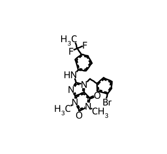 Cn1c(=O)c2c(nc(Nc3cccc(C(C)(F)F)c3)n2Cc2cccc(Br)c2)n(C)c1=O